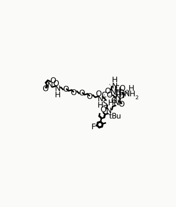 C/C=C(\C=C(/C)[C@H](N(CCCNC(=O)[C@H](CC(N)=O)NC(=O)[C@H](C)NC(=O)[C@H](C)NC(=O)O)C(=O)CSC[C@H](NC(=O)CCOCCOCCOCCOCCNC(=O)CN1C(=O)C=CC1=O)C(=O)O)C(C)(C)C)c1cc(F)ccc1C